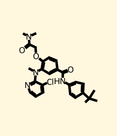 CN(C)C(=O)COc1ccc(C(=O)Nc2ccc(C(C)(C)C)cc2)cc1N(C)c1ncccc1Cl